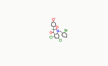 COc1ccc(C2(C)C(=O)c3c(Cl)cc(Cl)cc3N(Cc3ccccc3Br)C2=O)cc1